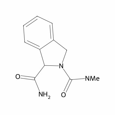 CNC(=O)N1Cc2ccccc2C1C(N)=O